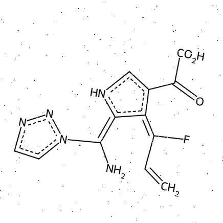 C=C/C(F)=c1/c(C(=O)C(=O)O)c[nH]/c1=C(/N)n1ccnn1